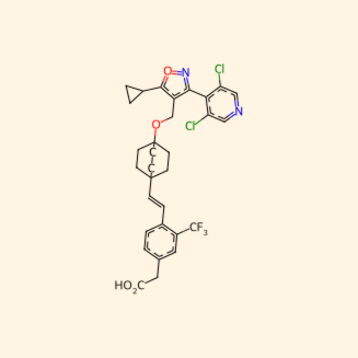 O=C(O)Cc1ccc(C=CC23CCC(OCc4c(-c5c(Cl)cncc5Cl)noc4C4CC4)(CC2)CC3)c(C(F)(F)F)c1